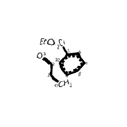 CCC=O.CCOC(=O)c1ccccc1